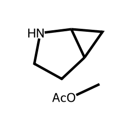 C1CC2CC2N1.COC(C)=O